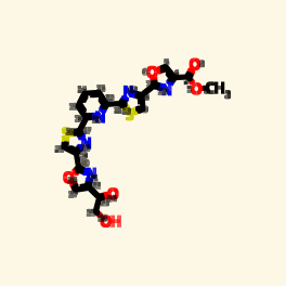 COC(=O)c1coc(-c2csc(-c3cccc(-c4nc(-c5nc(C(=O)CO)co5)cs4)n3)n2)n1